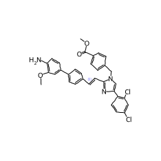 COC(=O)c1ccc(Cn2cc(-c3ccc(Cl)cc3Cl)nc2/C=C/c2ccc(-c3ccc(N)c(OC)c3)cc2)cc1